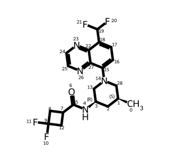 C[C@H]1C[C@@H](NC(=O)C2CC(F)(F)C2)CN(c2ccc(C(F)F)c3nccnc23)C1